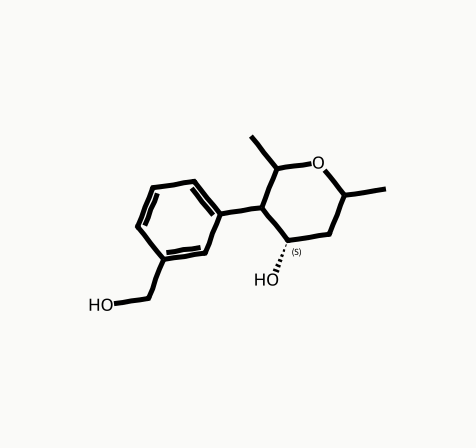 CC1C[C@H](O)C(c2cccc(CO)c2)C(C)O1